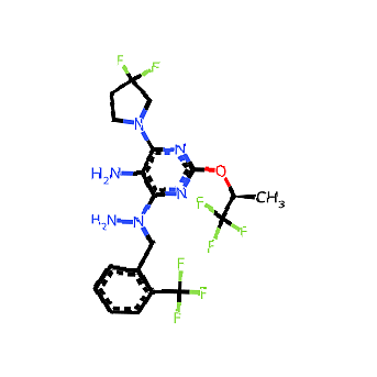 C[C@H](Oc1nc(N(N)Cc2ccccc2C(F)(F)F)c(N)c(N2CCC(F)(F)C2)n1)C(F)(F)F